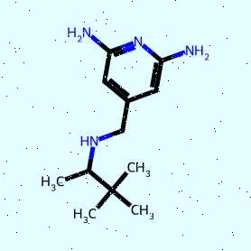 CC(NCc1cc(N)nc(N)c1)C(C)(C)C